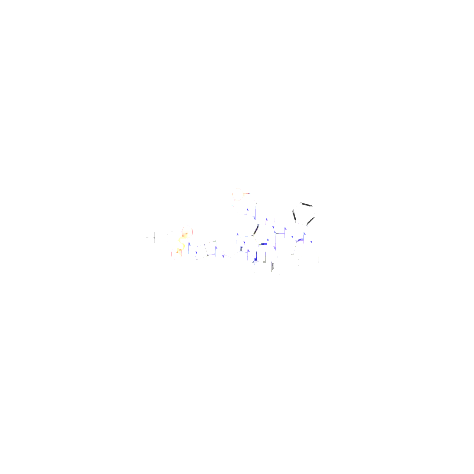 CC(C)c1nc2ccccc2n1-c1nc(N2CCOCC2)c2nc(CN3CC4C3CN4S(C)(=O)=O)n(C)c2n1